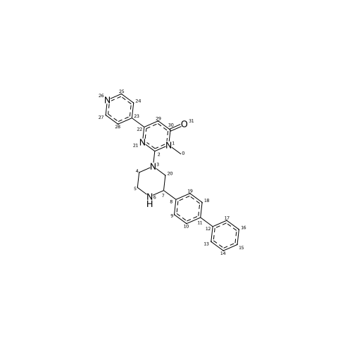 Cn1c(N2CCNC(c3ccc(-c4ccccc4)cc3)C2)nc(-c2ccncc2)cc1=O